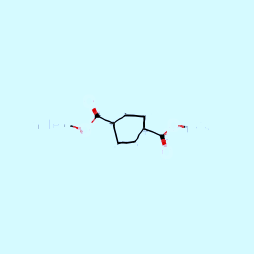 CCCCCCCCOC(=O)C1CCC(C(=O)OCCCCCC)CC1